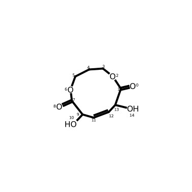 O=C1OCCCOC(=O)C(O)C=CC1O